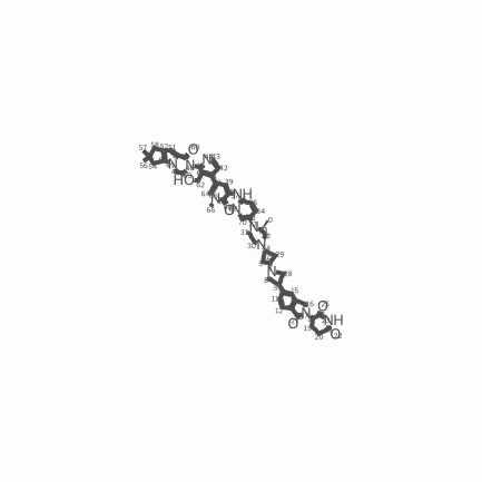 C[C@H]1CN(C2CC(N3CC(c4ccc5c(c4)CN(C4CCC(=O)NC4=O)C5=O)C3)C2)CCN1c1ccc(Nc2cc(-c3ccnc(N4CCn5c(cc6c5CC(C)(C)C6)C4=O)c3CO)cn(C)c2=O)nc1